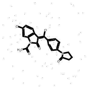 CC(=O)N1C(=O)/C(=C(/Cl)c2ccc(N3CCCC3=O)cc2)c2ccc(Cl)cc21